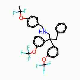 CC(F)(F)Oc1ccc(CNCC(Cc2ccccc2)(c2cccc(OC(F)(F)F)c2)c2cccc(OC(F)(F)F)c2)cc1